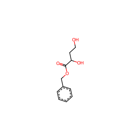 O=C(OCc1ccccc1)C(O)CCO